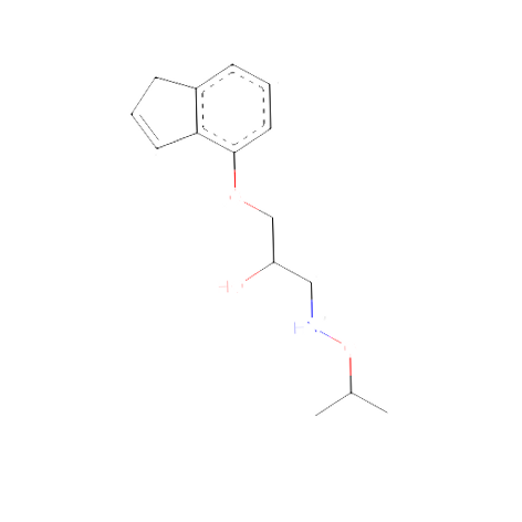 CC(C)ONCC(O)COc1cccc2c1C=CC2